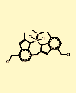 CC1=Cc2c(CCl)ccc(C)c2[CH]1[Zr]([Cl])([Cl])([CH]1C(C)=Cc2c(CCl)ccc(C)c21)=[Si](C)C